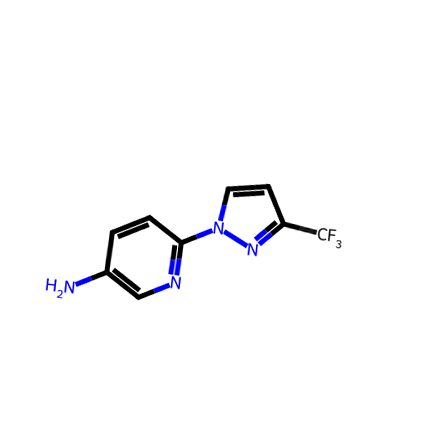 Nc1ccc(-n2ccc(C(F)(F)F)n2)nc1